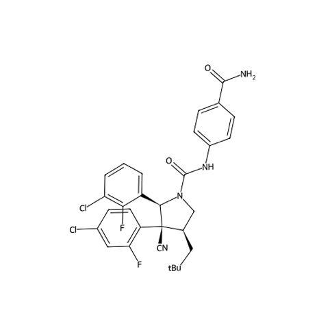 CC(C)(C)C[C@@H]1CN(C(=O)Nc2ccc(C(N)=O)cc2)[C@H](c2cccc(Cl)c2F)[C@@]1(C#N)c1ccc(Cl)cc1F